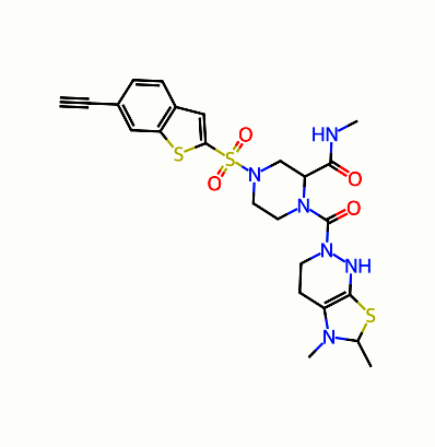 C#Cc1ccc2cc(S(=O)(=O)N3CCN(C(=O)N4CCC5=C(N4)SC(C)N5C)C(C(=O)NC)C3)sc2c1